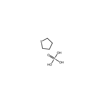 C1CCSC1.O=P(O)(O)O